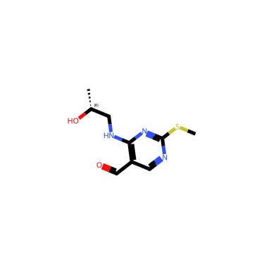 CSc1ncc(C=O)c(NC[C@@H](C)O)n1